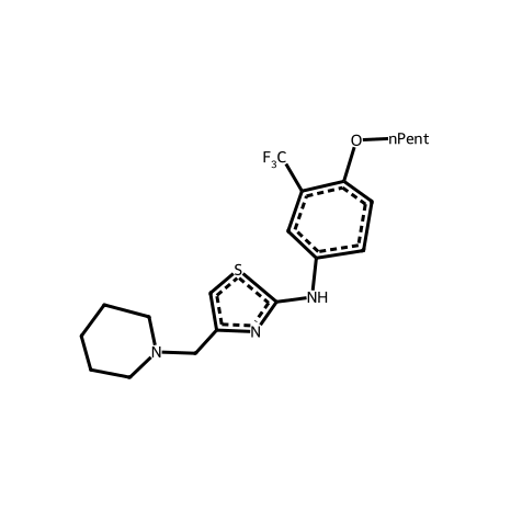 CCCCCOc1ccc(Nc2nc(CN3CCCCC3)cs2)cc1C(F)(F)F